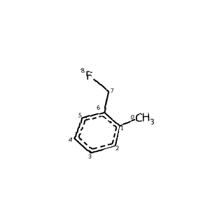 Cc1ccc[c]c1CF